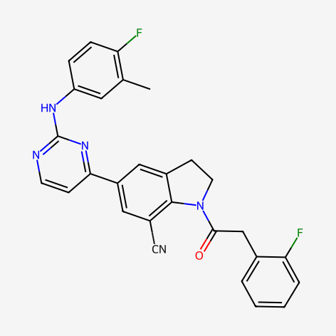 Cc1cc(Nc2nccc(-c3cc(C#N)c4c(c3)CCN4C(=O)Cc3ccccc3F)n2)ccc1F